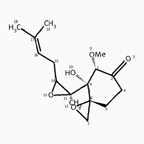 CO[C@@H]1C(=O)CC[C@]2(CO2)[C@@]1(O)[C@@]1(C)OC1CC=C(C)C